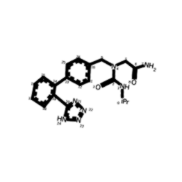 CC(C)NC(=O)N(CC(N)=O)Cc1ccc(-c2ccccc2-c2nnn[nH]2)cc1